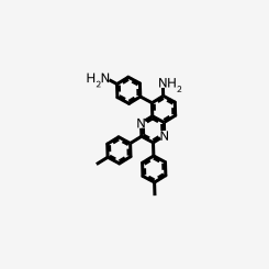 Cc1ccc(-c2nc3ccc(N)c(-c4ccc(N)cc4)c3nc2-c2ccc(C)cc2)cc1